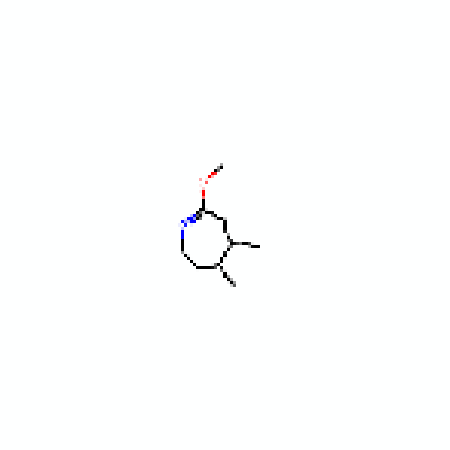 COC1=NCCC(C)C(C)C1